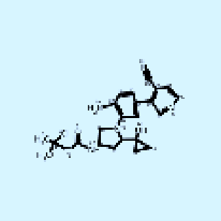 CC(C)(C)OC(=O)N[C@H]1CC(C2(O)CC2)N(c2cc(-c3cnccc3C#N)ccc2N)C1